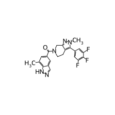 Cc1cc(C(=O)N2CCc3c(nn(C)c3-c3cc(F)c(F)c(F)c3)C2)cc2cn[nH]c12